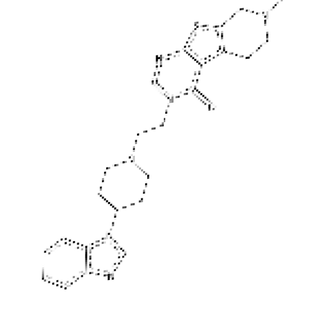 CN1CCc2c(sc3ncn(CCN4CCC(n5cnc6ccccc65)CC4)c(=O)c23)C1